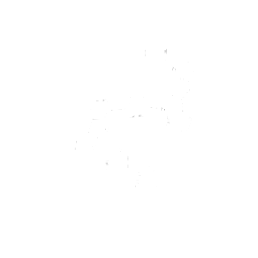 c1ccc(-c2ccc(-c3cccc4c3oc3c(-c5ccc(-n6c7ccccc7c7cc8ccn(-c9ccccc9)c8cc76)cc5)cccc34)cc2)cc1